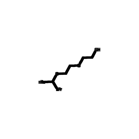 CCCCC(CCC)OCCOCCO